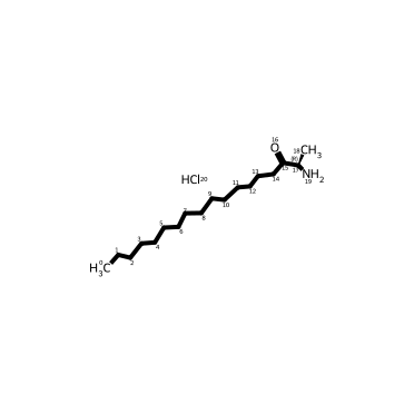 CCCCCCCCCCCCCCCC(=O)[C@@H](C)N.Cl